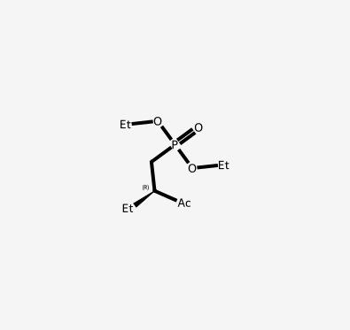 CCOP(=O)(C[C@H](CC)C(C)=O)OCC